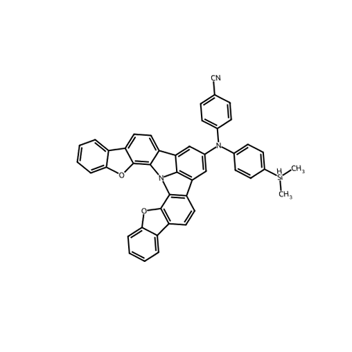 C[SiH](C)c1ccc(N(c2ccc(C#N)cc2)c2cc3c4ccc5c6ccccc6oc5c4n4c3c(c2)c2ccc3c5ccccc5oc3c24)cc1